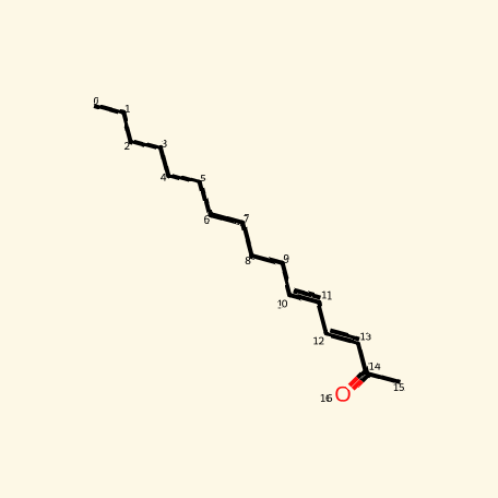 CCCCCCCCCCC=CC=CC(C)=O